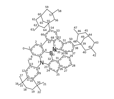 Cc1cc2c3c(c1)N(c1cc4c(cc1C)C(C)(C)CCC4(C)C)c1ccc4ccccc4c1B3n1c3ccc(C45CC(C)CC(CC(C)C4)C5)cc3c3cc(C45CC(C)CC(CC(C)C4)C5)cc-2c31